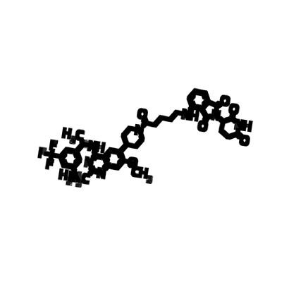 COc1cc2nc(C)nc(N[C@H](C)c3cc(N)cc(C(F)(F)F)c3)c2cc1C1CCN(C(=O)CCCCNc2cccc3c2C(=O)N(C2CCC(=O)NC2=O)C3=O)CC1